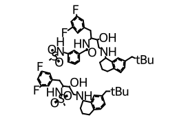 CC(C)(C)Cc1ccc2c(c1)C(NCC(O)C(Cc1cc(F)cc(F)c1)NC(=O)c1cccc(NS(C)(=O)=O)c1)CCC2.CC(C)(C)Cc1ccc2c(c1)C(NCC(O)C(Cc1cc(F)cc(F)c1)NS(C)(=O)=O)CCC2